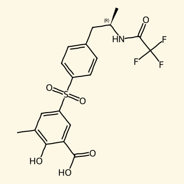 Cc1cc(S(=O)(=O)c2ccc(C[C@@H](C)NC(=O)C(F)(F)F)cc2)cc(C(=O)O)c1O